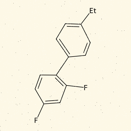 CCc1ccc(-c2ccc(F)cc2F)cc1